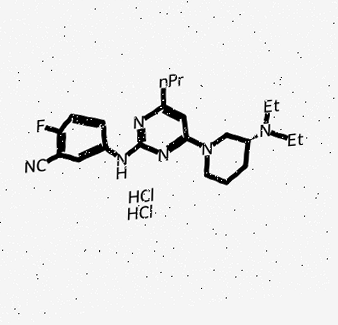 CCCc1cc(N2CCC[C@@H](N(CC)CC)C2)nc(Nc2ccc(F)c(C#N)c2)n1.Cl.Cl